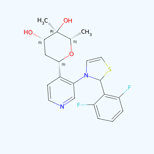 C[C@@H]1O[C@H](c2ccncc2N2C=CSC2c2c(F)cccc2F)C[C@H](O)[C@@]1(C)O